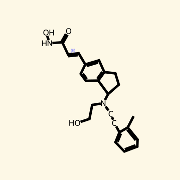 Cc1ccccc1CCN(CCO)C1CCc2cc(/C=C/C(=O)NO)ccc21